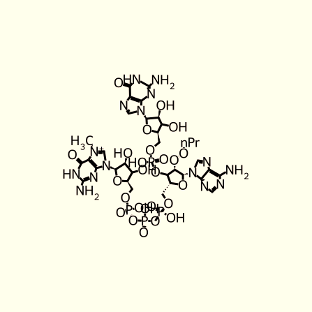 CCCOO[C@H]1C(OP(=O)(O)OC[C@H]2O[C@@H](n3cnc4c(=O)[nH]c(N)nc43)[C@@H](O)C2O)[C@@H](COP(=O)(O)OP(=O)(O)OP(=O)(O)OC[C@H]2O[C@@H](n3c[n+](C)c4c(=O)[nH]c(N)nc43)[C@@H](O)C2O)O[C@H]1n1cnc2c(N)ncnc21